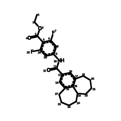 CCOC(=O)c1c(F)cc(NC(=O)c2cc3c4c(c2)CCCCC4CCCC3)cc1F